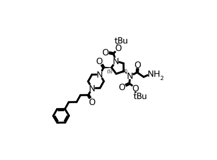 CC(C)(C)OC(=O)N1C[C@H](N(C(=O)CN)C(=O)OC(C)(C)C)C[C@H]1C(=O)N1CCN(C(=O)CCCc2ccccc2)CC1